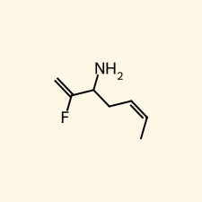 C=C(F)C(N)C/C=C\C